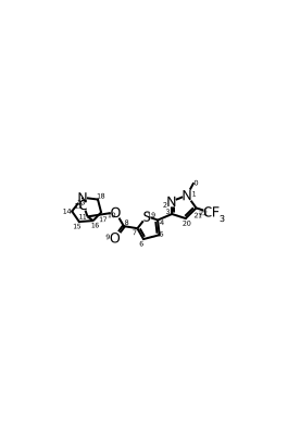 Cn1nc(-c2ccc(C(=O)OC3CN4CCC3CC4)s2)cc1C(F)(F)F